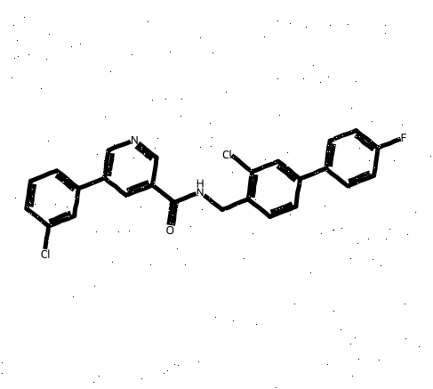 O=C(NCc1ccc(-c2ccc(F)cc2)cc1Cl)c1cncc(-c2cccc(Cl)c2)c1